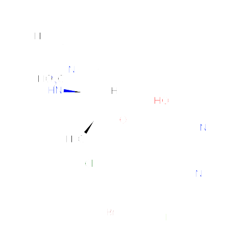 C[C@H](Oc1c(Cl)c(Br)c(F)c2ncnc(O)c12)[C@H]1NC[C@H]2CC[C@@H]1N2C(=O)O